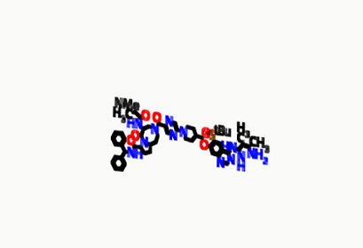 CNC(C)C(=O)NC1CN(C(=O)c2cnc(N3CCC(COc4cc5ncnc(NC(=N)/C(C)=C(/C)N)c5cc4[S+]([O-])C(C)(C)C)CC3)cn2)CCC2CCC(C(=O)NC(c3ccccc3)c3ccccc3)N2C1=O